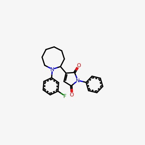 O=C1C=C(C2CCCCCCN2c2cccc(F)c2)C(=O)N1c1ccccc1